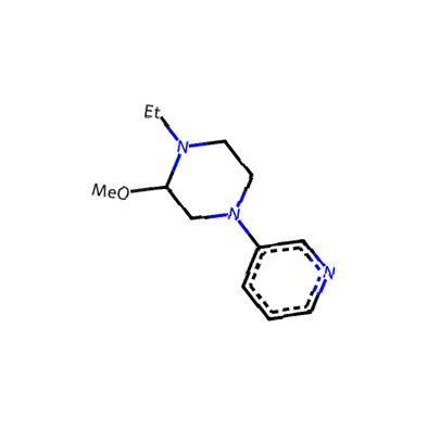 CCN1CCN(c2cccnc2)CC1OC